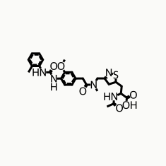 COc1cc(CC(=O)N(C)CC2=NSC(CC(NC(C)=O)C(=O)O)C2)ccc1NC(=O)Nc1ccccc1C